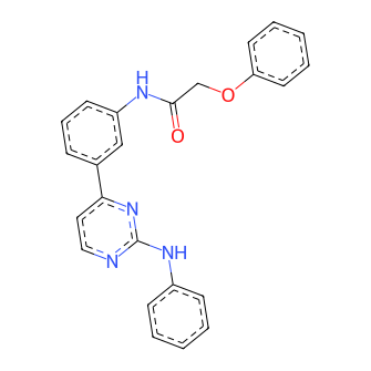 O=C(COc1ccccc1)Nc1cccc(-c2ccnc(Nc3ccccc3)n2)c1